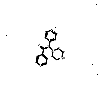 O=C(c1[c]cccc1)N(c1ccccc1)N1CCNCC1